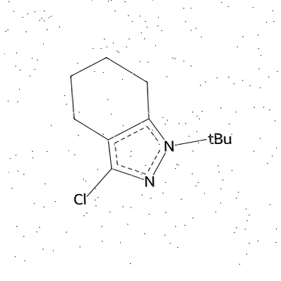 CC(C)(C)n1nc(Cl)c2c1CCCC2